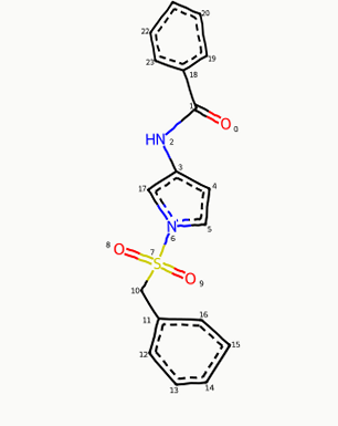 O=C(Nc1ccn(S(=O)(=O)Cc2ccccc2)c1)c1ccccc1